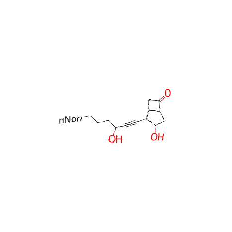 CCCCCCCCCCCCC(O)C#CC1C(O)CC2C(=O)CC21